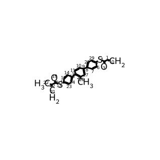 C=CC(=O)Sc1ccc(-c2ccc(-c3ccc(SC(=O)C(=C)C)cc3)c(C)c2)cc1